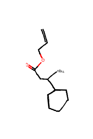 C=CCOC(=O)CC(CCCC)C1CCCCC1